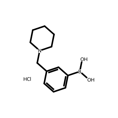 Cl.OB(O)c1cccc(CN2CCCCC2)c1